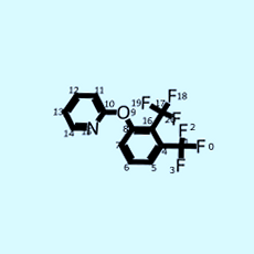 FC(F)(F)c1cccc(Oc2cc[c]cn2)c1C(F)(F)F